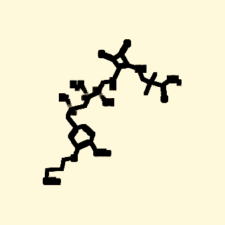 COCCCOc1cc(C[C@@H](C[C@H](N)[C@@H](O)CNc2c(NCC(C)(C)C(N)=O)c(=O)c2=O)C(C)C)ccc1OC